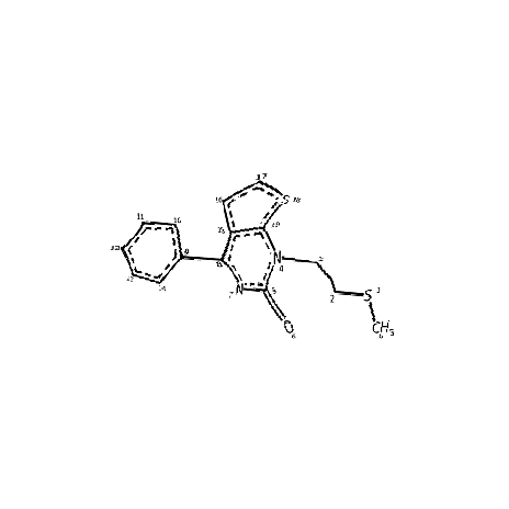 CSCCn1c(=O)nc(-c2ccccc2)c2ccsc21